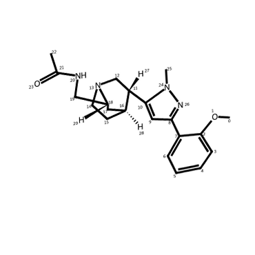 COc1ccccc1-c1cc([C@H]2CN3CC[C@H]2C[C@@H]3CNC(C)=O)n(C)n1